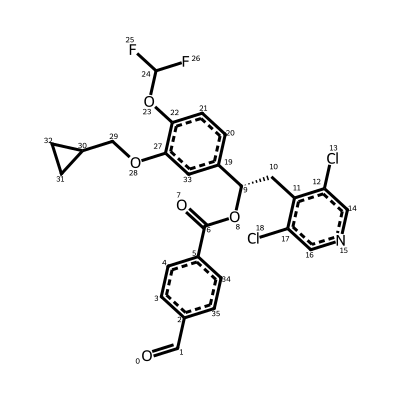 O=Cc1ccc(C(=O)O[C@@H](Cc2c(Cl)cncc2Cl)c2ccc(OC(F)F)c(OCC3CC3)c2)cc1